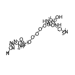 Cc1ncsc1-c1ccc(CNC(=O)C2C[C@@H](O)CN2C(=O)[C@@H](NC(=O)COCCOCCOCCOCCOC(C)(C)C(F)CNC(=O)c2cnc(-n3ncc4cc(C#N)cnc43)cc2NC2CC2)C(C)(C)C)cc1